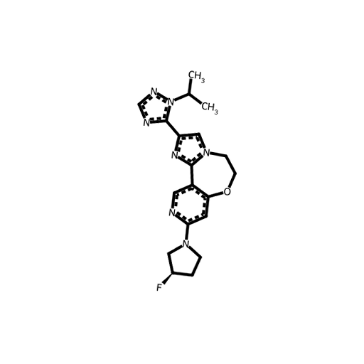 CC(C)n1ncnc1-c1cn2c(n1)-c1cnc(N3CC[C@@H](F)C3)cc1OCC2